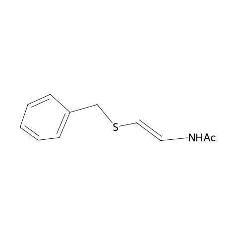 CC(=O)NC=CSCc1ccccc1